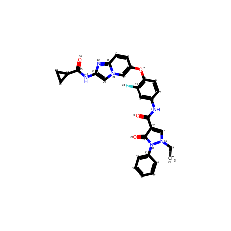 O=C(Nc1ccc(Oc2ccc3nc(NC(=O)C4CC4)cn3c2)c(F)c1)c1cn(CC(F)(F)F)n(-c2ccccc2)c1=O